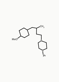 COC1CCC(CC(C)CCN2CCN(C(C)C)CC2)CC1